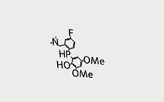 COc1cc(OC)c(O)c(Pc2ccc(F)cc2CN(C)C)c1